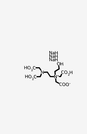 O=C([O-])C[N+](CCO)(CCN(CC(=O)O)CC(=O)O)CC(=O)O.[NaH].[NaH].[NaH]